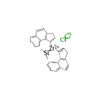 C[Si](C)=[Zr+2]([C]1=CCc2ccc3ccccc3c21)[C]1=CCc2ccc3ccccc3c21.[Cl-].[Cl-]